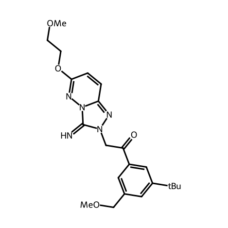 COCCOc1ccc2nn(CC(=O)c3cc(COC)cc(C(C)(C)C)c3)c(=N)n2n1